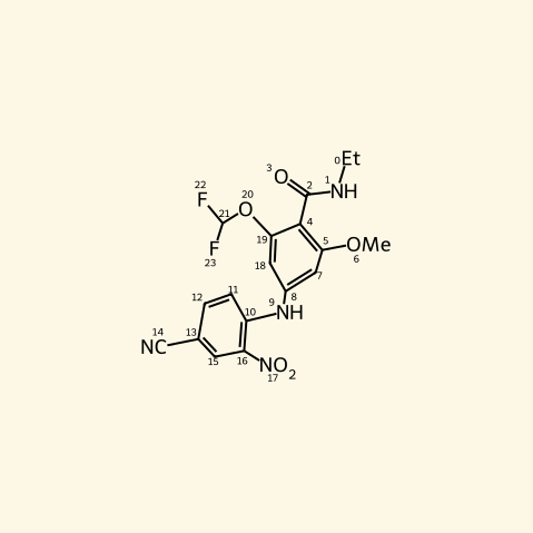 CCNC(=O)c1c(OC)cc(Nc2ccc(C#N)cc2[N+](=O)[O-])cc1OC(F)F